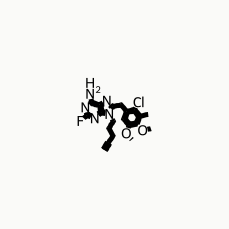 C#CCCCn1c(Cc2cc(OC)c(OC)c(C)c2Cl)nc2c(N)nc(F)nc21